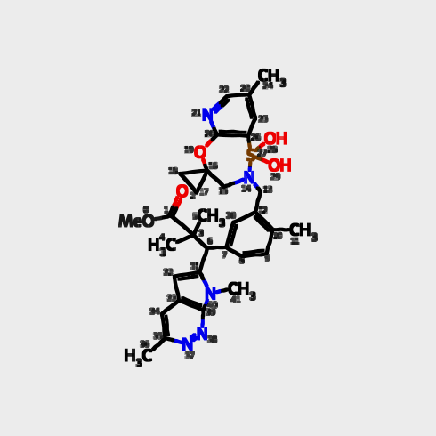 COC(=O)C(C)(C)C(c1ccc(C)c(CN2CC3(CC3)Oc3ncc(C)cc3S2(O)O)c1)c1cc2cc(C)nnc2n1C